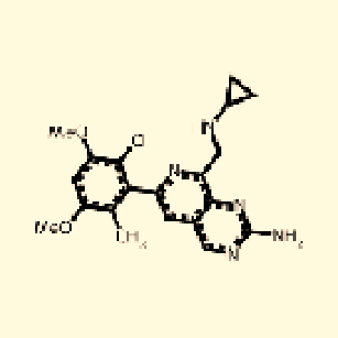 COc1cc(OC)c(Cl)c(-c2cc3cnc(N)nc3c(CNC3CC3)n2)c1C